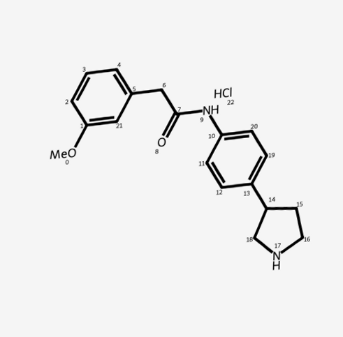 COc1cccc(CC(=O)Nc2ccc(C3CCNC3)cc2)c1.Cl